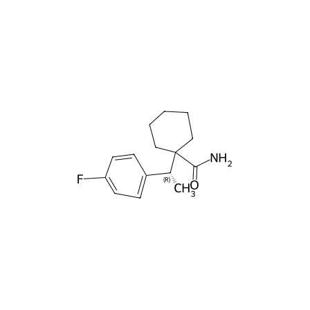 C[C@H](c1ccc(F)cc1)C1(C(N)=O)CCCCC1